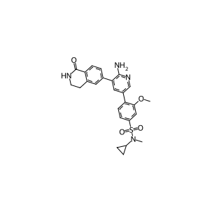 COc1cc(S(=O)(=O)N(C)C2CC2)ccc1-c1cnc(N)c(-c2ccc3c(c2)CCNC3=O)c1